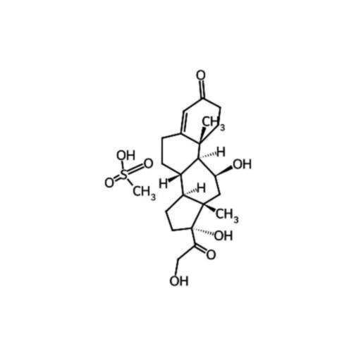 CS(=O)(=O)O.C[C@]12CCC(=O)C=C1CC[C@@H]1[C@@H]2[C@@H](O)C[C@@]2(C)[C@H]1CC[C@]2(O)C(=O)CO